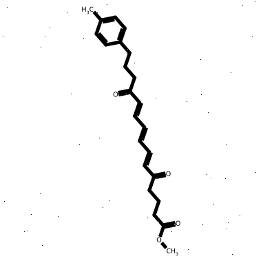 COC(=O)CCCC(=O)C=CC=CC=CC(=O)CCCc1ccc(C)cc1